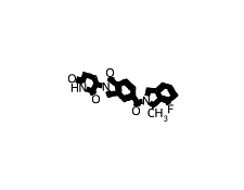 C[C@H]1c2c(F)cccc2CN1C(=O)c1ccc2c(c1)CN(C1CCC(=O)NC1=O)C2=O